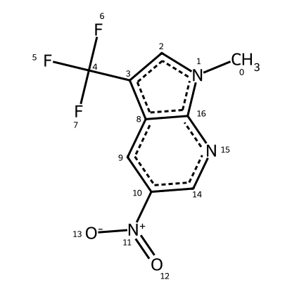 Cn1cc(C(F)(F)F)c2cc([N+](=O)[O-])cnc21